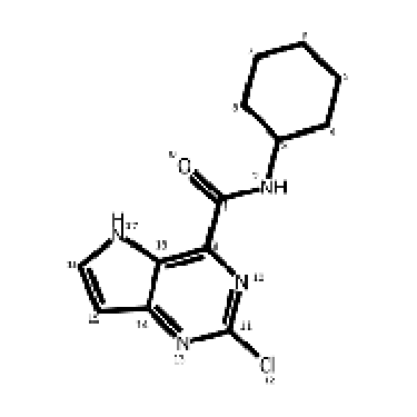 O=C(NC1CCCCC1)c1nc(Cl)nc2cc[nH]c12